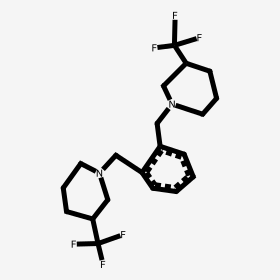 FC(F)(F)C1CCCN(Cc2ccccc2CN2CCCC(C(F)(F)F)C2)C1